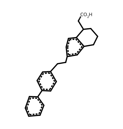 O=C(O)CC1CCCc2cc(CCc3ccc(-c4ccccc4)cc3)ccc21